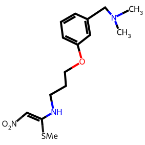 CSC(=C[N+](=O)[O-])NCCCOc1cccc(CN(C)C)c1